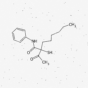 CCCCCCC(S)(C(C)=O)C(=O)Nc1ccccc1